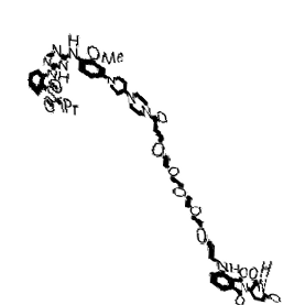 COc1cc(N2CCC(N3CCN(C(=O)CCOCCOCCOCCOCCOCCNc4cccc5c4C(=O)N(C4CCC(=O)NC4=O)C5=O)CC3)CC2)ccc1Nc1ncnc(Nc2ccccc2S(=O)(=O)C(C)C)n1